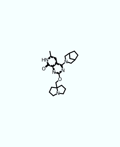 Cc1cc2c(N3CC4CCC(C4)C3)nc(OCC34CCCN3CCC4)nc2c(=O)[nH]1